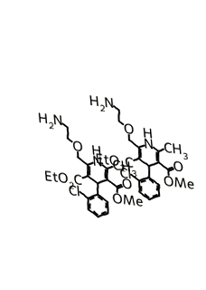 CCOC(=O)C1=C(COCCN)NC(C)=C(C(=O)OC)C1c1ccccc1Cl.CCOC(=O)C1=C(COCCN)NC(C)=C(C(=O)OC)C1c1ccccc1Cl